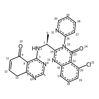 C[C@H](Nc1ncnc2c1C(=O)C=CC2)c1nc2cccc(Cl)c2c(=O)n1-c1ccccn1